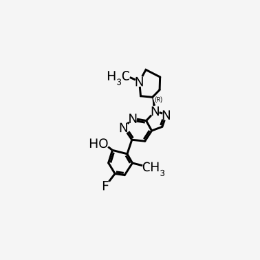 Cc1cc(F)cc(O)c1-c1cc2cnn([C@@H]3CCCN(C)C3)c2nn1